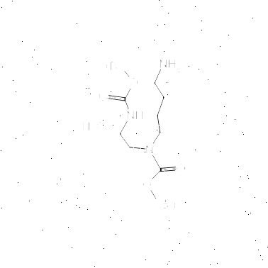 C[C@@H](CN(CCCCN)C(=O)OC(C)(C)C)NC(=O)OC(C)(C)C